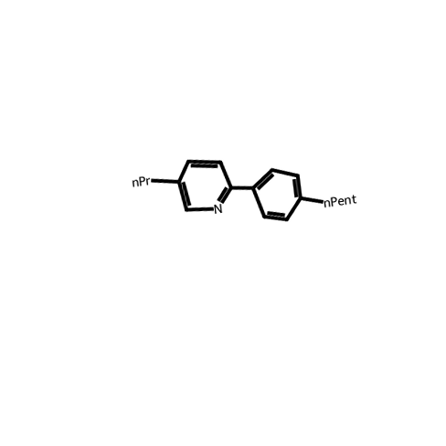 CCCCCc1ccc(-c2ccc(CCC)cn2)cc1